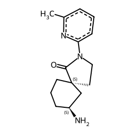 Cc1cccc(N2CC[C@]3(CCC[C@H](N)C3)C2=O)n1